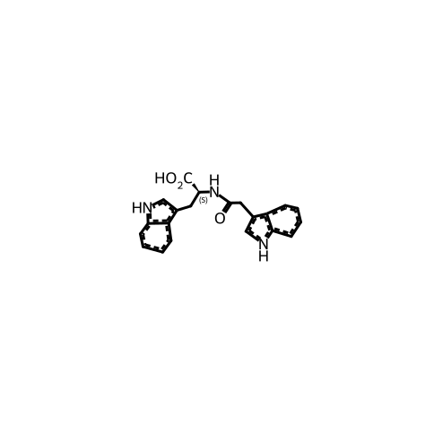 O=C(Cc1c[nH]c2ccccc12)N[C@@H](Cc1c[nH]c2ccccc12)C(=O)O